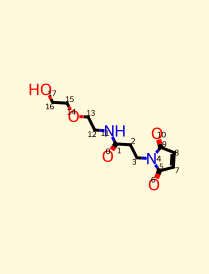 O=C(CCN1C(=O)C=CC1=O)NCCOCCO